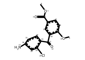 COC(=O)c1ccc(OC)c(C(=O)c2ccc(N)cc2Cl)c1